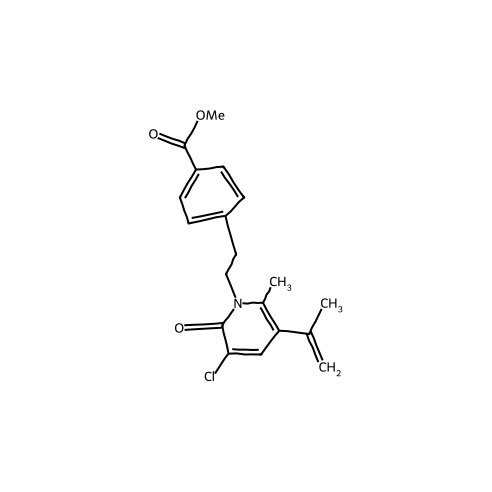 C=C(C)c1cc(Cl)c(=O)n(CCc2ccc(C(=O)OC)cc2)c1C